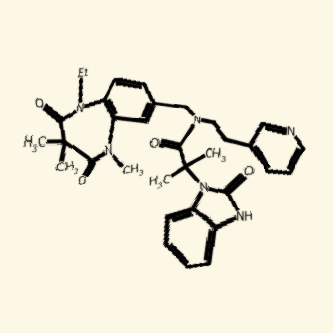 CCN1C(=O)C(C)(C)C(=O)N(C)c2cc(CN(CCc3cccnc3)C(=O)C(C)(C)n3c(=O)[nH]c4ccccc43)ccc21